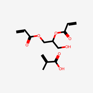 C=C(C)C(=O)O.C=CC(=O)OCC(CO)OC(=O)C=C